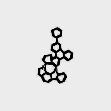 c1ccc(-c2ccc3c4ccc(-n5c6ccccc6c6ccc7ccn(-c8ccccc8)c7c65)cc4c4ccccc4c3c2)cc1